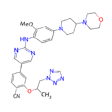 COc1cc(N2CCC(N3CCOCC3)CC2)ccc1Nc1ncc(-c2ccc(C#N)c(OC(C)Cn3ncnn3)c2)cn1